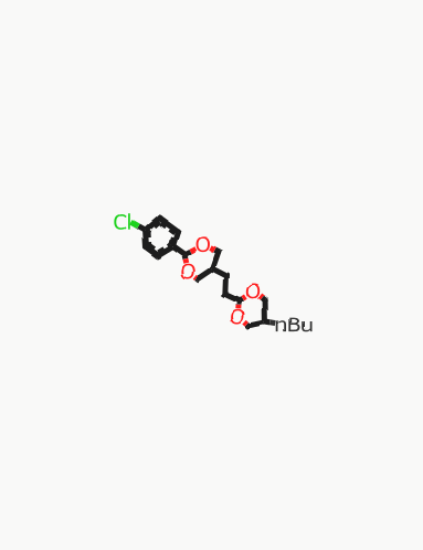 CCCCC1COC(CCC2COC(c3ccc(Cl)cc3)OC2)OC1